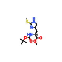 COC(=O)[C@H](CC1CNC(SC)=N1)NC(=O)OC(C)(C)C